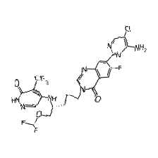 Nc1nc(-c2cc3ncn(CCC[C@H](COC(F)F)Nc4cn[nH]c(=O)c4C(F)(F)F)c(=O)c3cc2F)ncc1Cl